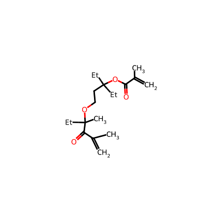 C=C(C)C(=O)OC(CC)(CC)CCOC(C)(CC)C(=O)C(=C)C